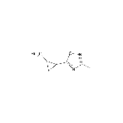 Cc1noc(C2CC2C(=O)O)n1